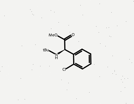 COC(=O)[C@H](NC(C)(C)C)c1ccccc1Cl